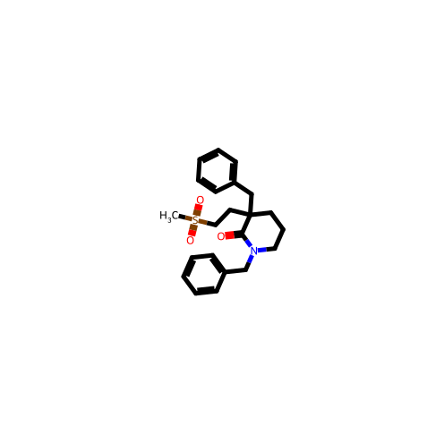 CS(=O)(=O)CCC1(Cc2ccccc2)CCCN(Cc2ccccc2)C1=O